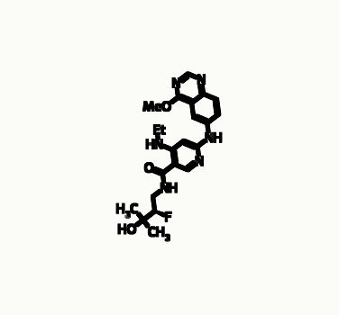 CCNc1cc(Nc2ccc3ncnc(OC)c3c2)ncc1C(=O)NC[C@@H](F)C(C)(C)O